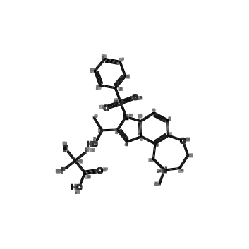 CC(O)c1cc2c3c(ccc2n1S(=O)(=O)c1ccccc1)OCCN(C)C3.O=C(O)C(F)(F)F